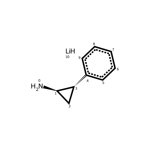 N[C@@H]1C[C@H]1c1ccccc1.[LiH]